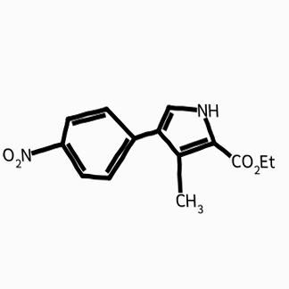 CCOC(=O)c1[nH]cc(-c2ccc([N+](=O)[O-])cc2)c1C